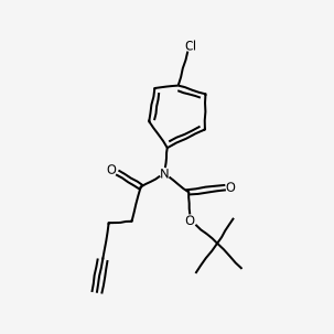 C#CCCC(=O)N(C(=O)OC(C)(C)C)c1ccc(Cl)cc1